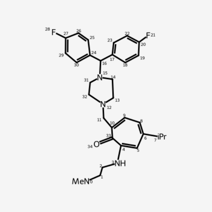 CNCCNc1cc(C(C)C)ccc(CN2CCN(C(c3ccc(F)cc3)c3ccc(F)cc3)CC2)c1=O